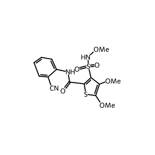 CONS(=O)(=O)c1c(C(=O)Nc2ccccc2C#N)sc(OC)c1OC